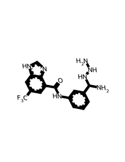 NNNC(N)c1cccc(NC(=O)c2cc(C(F)(F)F)cc3[nH]cnc23)c1